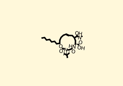 CCCCCCCC1CCC/C=C/CC(C(=O)NC)C[C@@H](C(=O)O)NC(=O)[C@H](CC(C)C)NC(=O)O1